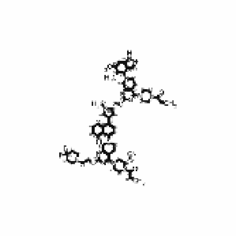 C=CC(=O)N1CCN(c2nc(OC[C@@H]3CC(c4ccc(N5CCc6c(nc(OCCN7CCC(F)(F)CC7)nc6N6CCN(C(=O)C=C)[C@@H](CC#N)C6)C5)c5c(Cl)cccc45)CN3C)nc3c2CCN(c2c(C)c(C)cc4[nH]ncc24)C3)CC1